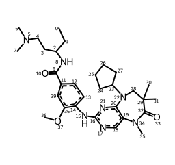 CCC(CCN(C)C)NC(=O)c1ccc(Nc2ncc3c(n2)N(C2CCCC2)CC(C)(C)C(=O)N3C)c(OC)c1